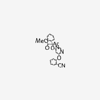 COC(=O)C(Oc1cc(Oc2ccccc2C#N)ncn1)(C(C)=O)c1ccccc1